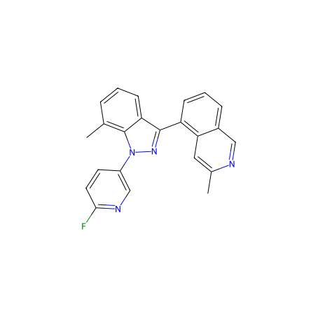 Cc1cc2c(-c3nn(-c4ccc(F)nc4)c4c(C)cccc34)cccc2cn1